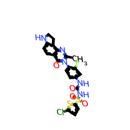 Cc1nc2c3c(ccc2c(=O)n1-c1ccc(NC(=O)NS(=O)(=O)c2ccc(Cl)s2)cc1F)NCC3